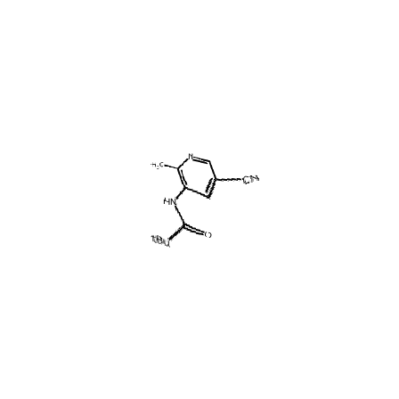 [CH2]c1ncc(C#N)cc1NC(=O)C(C)(C)C